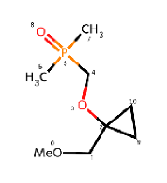 COCC1(OCP(C)(C)=O)CC1